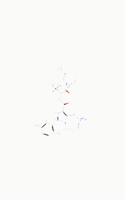 CCN(CCN(C)C)C(=O)[C@@H](NC(=O)c1nc(-c2cc(Cl)ccc2F)n2c1CN(C)CCC2)C(C)(C)C